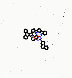 C1=CCC(c2nc(-c3ccc4c(ccc5ccccc54)c3)nc(-n3c4ccccc4c4ccc5c6ccccc6n(-c6ccccc6-c6ccc7c8ccccc8c8ccccc8c7c6)c5c43)n2)C=C1